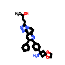 CC(O)CCc1nnc2c3cc(-c4ccccc4)c(-c4ccc(C5(N)CC6(C5)OCCO6)cc4)nc3ccn12